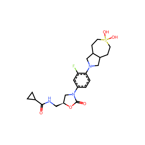 O=C(NC[C@H]1CN(c2ccc(N3CC4CCS(O)(O)CCC4C3)c(F)c2)C(=O)O1)C1CC1